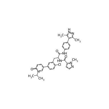 Cc1n[nH]c(C)c1-c1ccc(NC(=O)C(Cc2cc(-c3ccc(=O)n(C(C)C)c3)ccc2Cl)NC(=O)c2ccnn2C)cc1